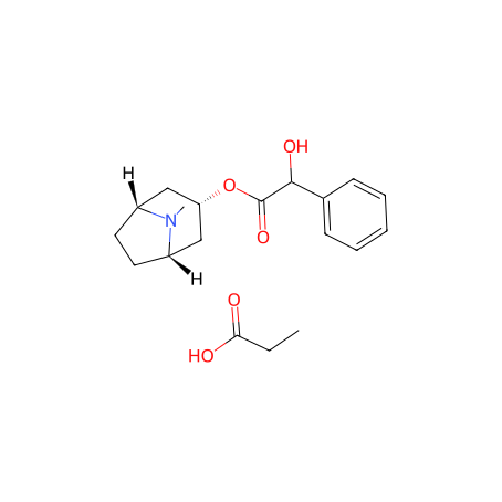 CCC(=O)O.CN1[C@@H]2CC[C@H]1C[C@@H](OC(=O)C(O)c1ccccc1)C2